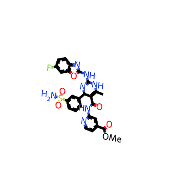 COC(=O)c1ccnc(NC(=O)C2=C(C)NC(Nc3nc4ccc(F)cc4o3)=NC2c2cccc(S(N)(=O)=O)c2)c1